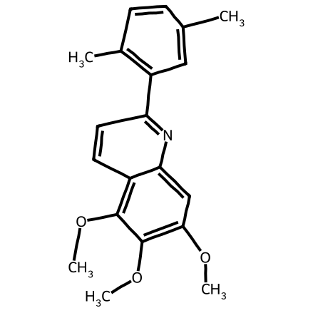 COc1cc2nc(-c3cc(C)ccc3C)ccc2c(OC)c1OC